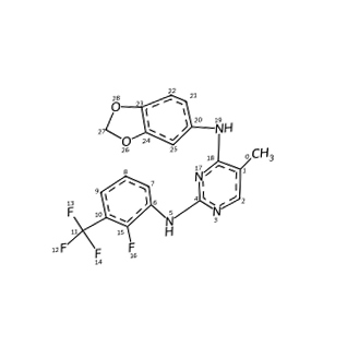 Cc1cnc(Nc2cccc(C(F)(F)F)c2F)nc1Nc1ccc2c(c1)OCO2